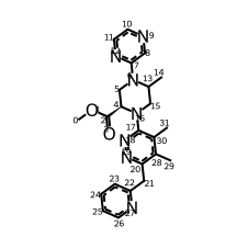 COC(=O)[C@H]1CN(c2cnccn2)C(C)CN1c1nnc(Cc2ccccn2)c(C)c1C